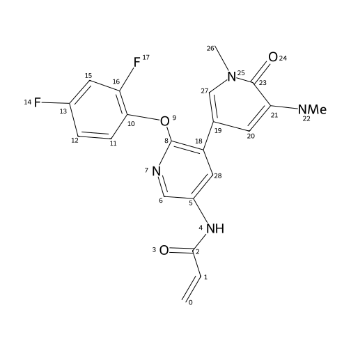 C=CC(=O)Nc1cnc(Oc2ccc(F)cc2F)c(-c2cc(NC)c(=O)n(C)c2)c1